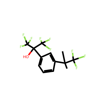 CC(C)(c1cccc(C(O)(C(F)(F)F)C(F)(F)F)c1)C(F)(F)F